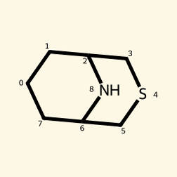 C1C[C]2CSCC(C1)N2